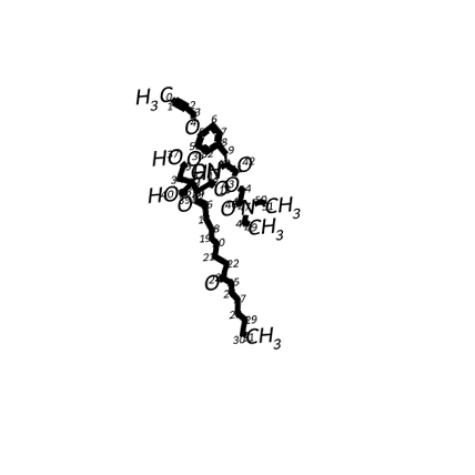 CC#CCOc1ccc(C[C@H](NC(=O)[C@@H](C=CCCCCCCC(=O)CCCCCCC)[C@@](O)(CC(=O)O)C(=O)O)C(=O)OCC(=O)N(CC)CC)cc1